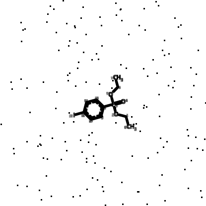 CCOP(=O)(OCC)c1ccc(I)cc1